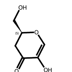 O=C1C[C@@H](CO)OC=C1O